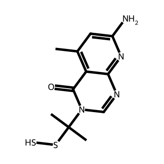 Cc1cc(N)nc2ncn(C(C)(C)SS)c(=O)c12